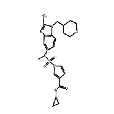 CN(c1ccc2c(c1)nc(C(C)(C)C)n2CC1CCOCC1)S(=O)(=O)n1cnc(C(=O)NC2CC2)c1